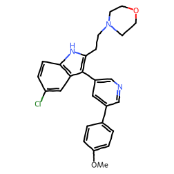 COc1ccc(-c2cncc(-c3c(CCN4CCOCC4)[nH]c4ccc(Cl)cc34)c2)cc1